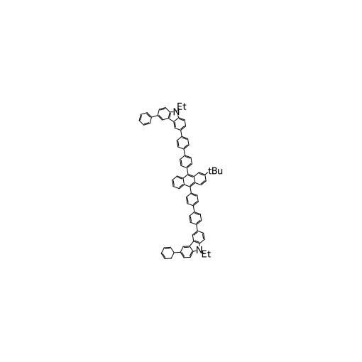 CCn1c2ccc(-c3ccccc3)cc2c2cc(-c3ccc(-c4ccc(-c5c6ccccc6c(-c6ccc(-c7ccc(-c8ccc9c(c8)c8cc(C%10C=CC=CC%10)ccc8n9CC)cc7)cc6)c6ccc(C(C)(C)C)cc56)cc4)cc3)ccc21